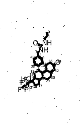 C=CCNC(=O)NCc1ccc([C@H]2C[C@@]3(C)C(CC[C@@]3(O)C(F)(F)C(F)(F)F)C3CCC4=CC(=O)CCC4=C32)cc1